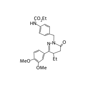 CCOC(=O)Nc1ccc(CN2N=C(c3ccc(OC)c(OC)c3)C(CC)CC2=O)cc1